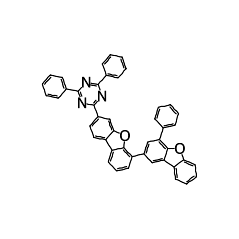 c1ccc(-c2nc(-c3ccccc3)nc(-c3ccc4c(c3)oc3c(-c5cc(-c6ccccc6)c6oc7ccccc7c6c5)cccc34)n2)cc1